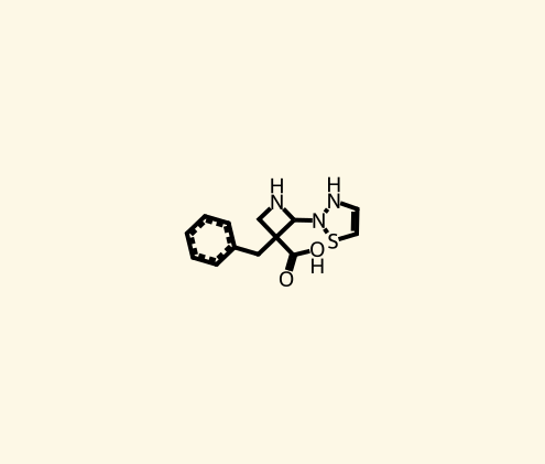 O=C(O)C1(Cc2ccccc2)CNC1N1NC=CS1